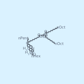 CCCCC/C=C/C(/C=C/CCCCCCCC(=O)OCC(COC(=O)CCCCCCC/C=C/CCCCCCCC)OC(=O)CCCCCCC/C=C/CCCCCCCC)OC1C=C2CC[C@@H]3C(CC[C@@]4(C)C3CC[C@@H]4OC(=O)CCCCCC)[C@@]2(C)CC1